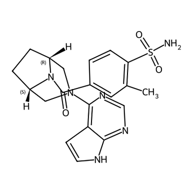 Cc1cc(C(=O)N2[C@@H]3CC[C@H]2CN(c2ncnc4[nH]ccc24)C3)ccc1S(N)(=O)=O